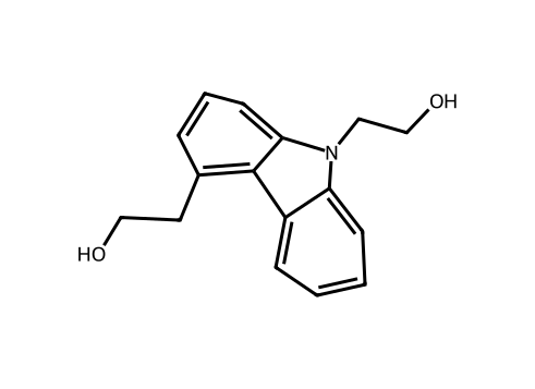 OCCc1cccc2c1c1ccccc1n2CCO